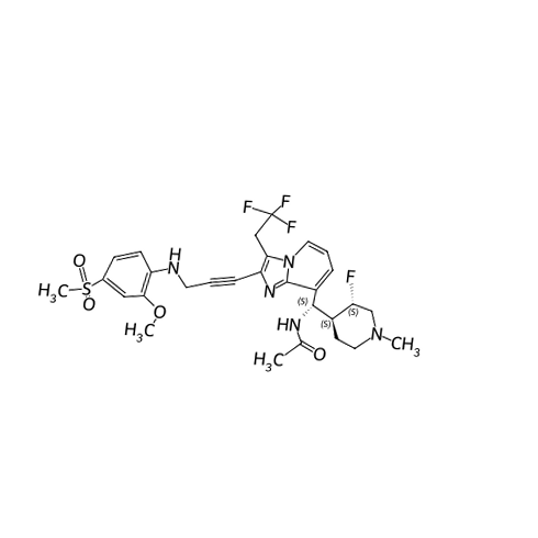 COc1cc(S(C)(=O)=O)ccc1NCC#Cc1nc2c([C@@H](NC(C)=O)[C@@H]3CCN(C)C[C@H]3F)cccn2c1CC(F)(F)F